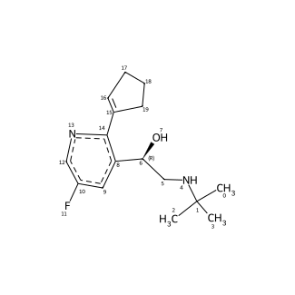 CC(C)(C)NC[C@H](O)c1cc(F)cnc1C1=CCCC1